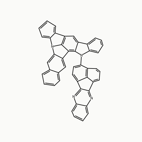 c1ccc2cc3c(cc2c1)c1c2c(cc4c5ccccc5n3c41)c1ccccc1n2-c1ccc2c3c(cccc13)-c1nc3ccccc3nc1-2